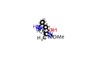 COc1cn2c([C@H](O)c3ccc(-c4ccccc4-c4nnn[nH]4)cc3)c(C)cc(C)c2n1